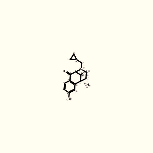 C[C@H]1C2C(=O)c3ccc(O)cc3[C@]1(C)CCN2CC1CC1